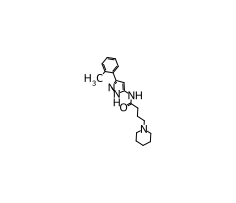 Cc1ccccc1-c1cc(NC(=O)CCCN2CCCCC2)[nH]n1